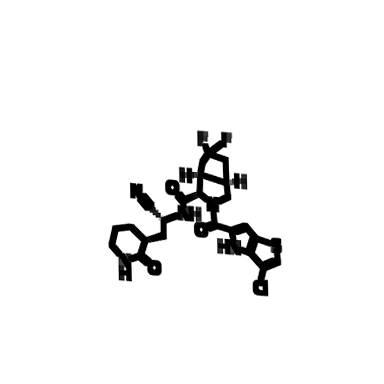 N#C[C@@H](C[C@@H]1CCCNC1=O)NC(=O)[C@H]1[C@H]2CC(F)(F)C[C@H]2CN1C(=O)c1cc2scc(Cl)c2[nH]1